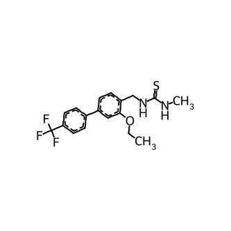 CCOc1cc(-c2ccc(C(F)(F)F)cc2)ccc1CNC(=S)NC